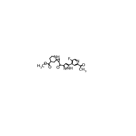 COC(=O)C1CCNC2(C1)CC2C(=O)c1cc(-c2cc(C(C)=O)ncc2F)[nH]n1